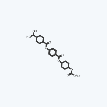 COC(=O)OC1CCC(OC(=O)c2ccc(OC(=O)C3CCC(C(O)O)CC3)cc2)CC1